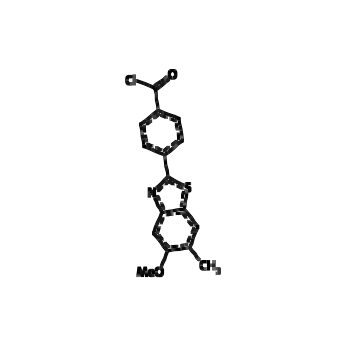 COc1cc2nc(-c3ccc(C(=O)Cl)cc3)sc2cc1C